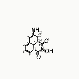 NC1=CC2=CC=CC3C(=O)N(O)C(=O)C(=C1)C23